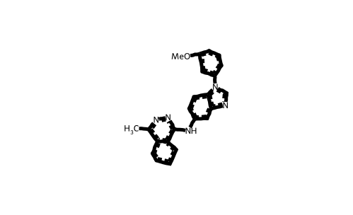 COc1cccc(-n2cnc3cc(Nc4nnc(C)c5ccccc45)ccc32)c1